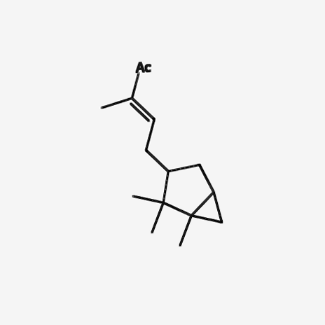 CC(=O)/C(C)=C/CC1CC2CC2(C)C1(C)C